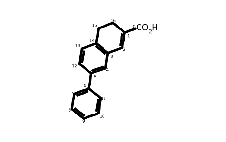 O=C(O)C1=Cc2cc(-c3ccccc3)ccc2CC1